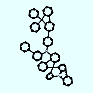 c1ccc(-c2cccc(N(c3ccc(-c4ccc5c(c4)C(c4ccccc4)(c4ccccc4)c4ccccc4-5)cc3)c3cccc4c3-c3ccccc3C43c4ccccc4-n4c5ccccc5c5cccc3c54)c2)cc1